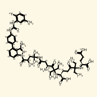 CCC(CC)(N[C@@H](CCC(=O)O)C(=O)O)C(=O)CC[C@H](NC(CC)(CC)C(=O)[C@@H](N)CC(=O)NC(C)(C)CC(C)C(=O)n1nc(N)c2c(-c3ccc(NC(=O)Nc4cc(C)ccc4F)cc3)cccc21)C(=O)O